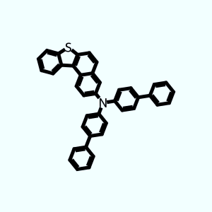 c1ccc(-c2ccc(N(c3ccc(-c4ccccc4)cc3)c3ccc4c(ccc5sc6ccccc6c54)c3)cc2)cc1